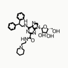 O=C(NCCN1CCCCC1)c1nc(NCC(c2ccccc2)c2ccccc2)c2ncn([C@@H]3O[C@H](CO)[C@@H](O)[C@@H]3O)c2n1